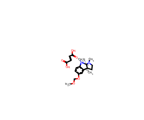 COCOc1ccc2c(c1)[C@]1(C)CCN(C)[C@@H]1N2C.O=C(O)C=CC(=O)O